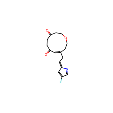 O=C1/C=C(/C/C=C2/C=C(F)C=N2)CCOCCC(=O)CC1